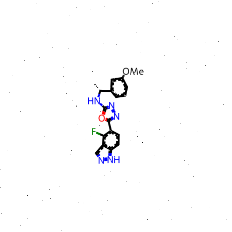 COc1cccc([C@@H](C)Nc2nnc(-c3ccc4[nH]ncc4c3F)o2)c1